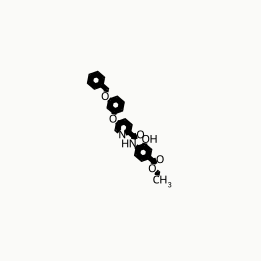 CCOC(=O)c1ccc(NC(=O)c2ccc(Oc3cccc(OCc4ccccc4)c3)cn2)c(O)c1